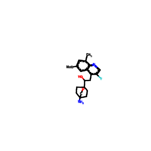 COc1cc(C)c2ncc(F)c(CC(O)C34CCC(N)(CC3)CO4)c2c1